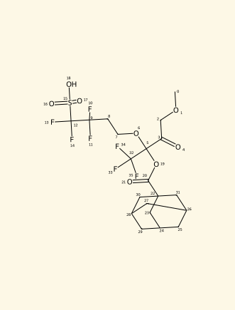 COCC(=O)C(OCCC(F)(F)C(F)(F)S(=O)(=O)O)(OC(=O)C12CC3CC(CC(C3)C1)C2)C(F)(F)F